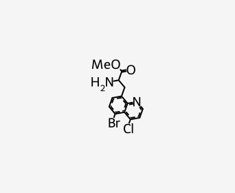 COC(=O)C(N)Cc1ccc(Br)c2c(Cl)ccnc12